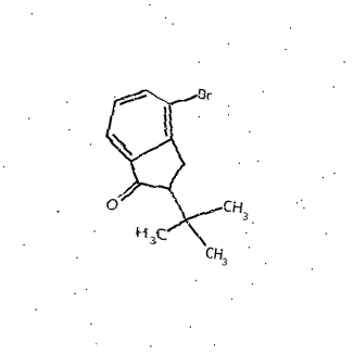 CC(C)(C)C1Cc2c(Br)cccc2C1=O